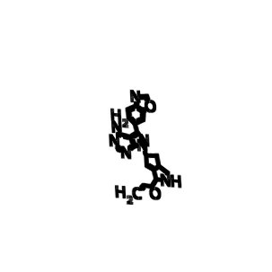 C=CC(=O)C1NCC2CC(n3nc(-c4ccc5ncoc5c4)c4c(N)ncnc43)C=C21